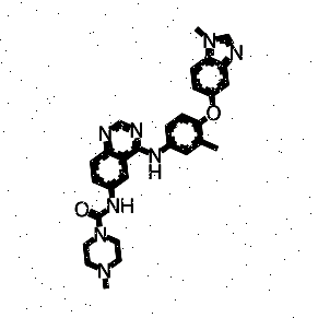 Cc1cc(Nc2ncnc3ccc(NC(=O)N4CCN(C)CC4)cc23)ccc1Oc1ccc2c(c1)ncn2C